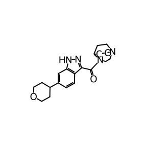 O=C(c1n[nH]c2cc(C3CCOCC3)ccc12)N1CCN2CCC1CC2